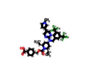 CC[C@@H]1C[C@H](N(Cc2cc(C(F)(F)F)cc(C(F)(F)F)c2)c2ncc(-c3ccn(C)c3)cn2)C[C@H](CC)N1C(=O)OC[C@H]1CC[C@H](C(=O)O)CC1